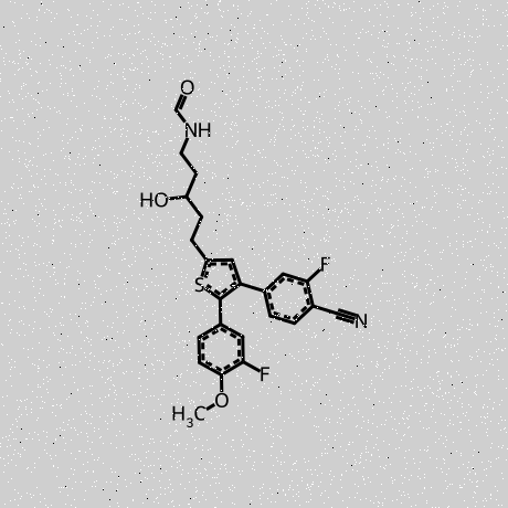 COc1ccc(-c2sc(CCC(O)CCNC=O)cc2-c2ccc(C#N)c(F)c2)cc1F